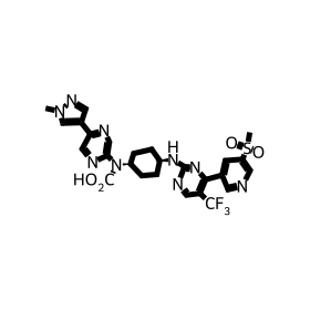 Cn1cc(-c2cnc(N(C(=O)O)[C@H]3CC[C@H](Nc4ncc(C(F)(F)F)c(-c5cncc(S(C)(=O)=O)c5)n4)CC3)cn2)cn1